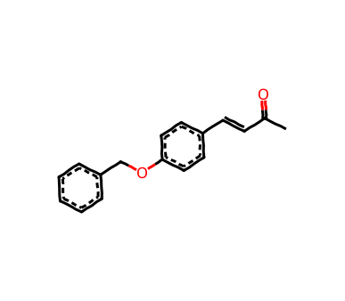 CC(=O)C=Cc1ccc(OCc2ccccc2)cc1